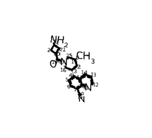 C[C@@H]1C[C@H](c2ccc(C#N)c3ncccc23)CN(C(=O)C2CC(N)C2)C1